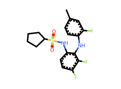 Cc1ccc(Nc2c(NS(=O)(=O)C3CCCC3)ccc(F)c2F)c(F)c1